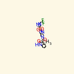 C[C@@]1(CC(=O)N2Cc3cn(S(=O)(=O)c4cnn(CC(F)F)c4)nc3C2)C(=O)Nc2ccccc21